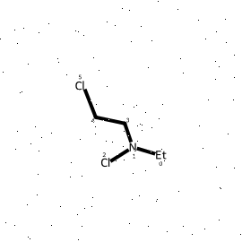 CCN(Cl)CCCl